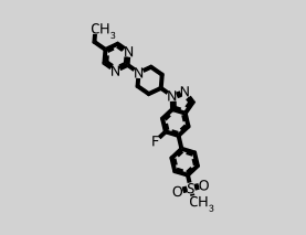 CCc1cnc(N2CCC(n3ncc4cc(-c5ccc(S(C)(=O)=O)cc5)c(F)cc43)CC2)nc1